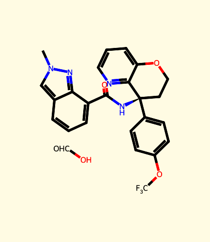 Cn1cc2cccc(C(=O)N[C@]3(c4ccc(OC(F)(F)F)cc4)CCOc4cccnc43)c2n1.O=CO